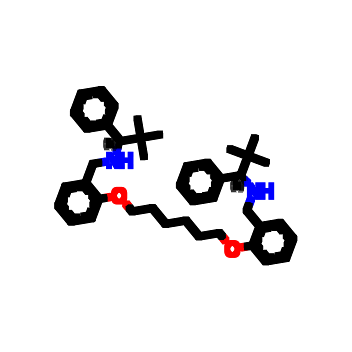 CC(C)(C)[C@@H](NCc1ccccc1OCCCCCCOc1ccccc1CN[C@@H](c1ccccc1)C(C)(C)C)c1ccccc1